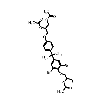 CC(=O)OCC(COc1ccc(C(C)(C)c2cc(Br)c(OCC(CCl)OC(C)=O)c(Br)c2)cc1)OC(C)=O